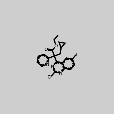 CCOC(=O)C(CC1CC1)(c1ccccn1)c1nc(Cl)nc2ccc(I)cc12